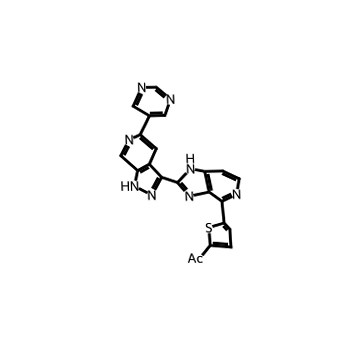 CC(=O)c1ccc(-c2nccc3[nH]c(-c4n[nH]c5cnc(-c6cncnc6)cc45)nc23)s1